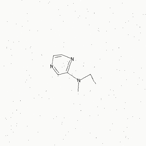 CCN(C)c1[c]nccn1